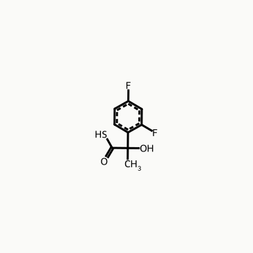 CC(O)(C(=O)S)c1ccc(F)cc1F